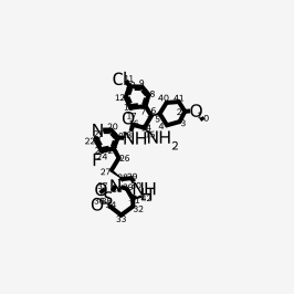 COC1CCC([C@H](c2ccc(Cl)cc2)[C@H](N)C(=O)Nc2cncc(F)c2CC[C@H]2CN[C@@H]3CCCS(=O)(=O)N2C3)CC1